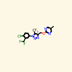 Cc1cnc(OCc2nnn(-c3ccc(Cl)c(C(F)F)c3)c2C(F)(F)F)nc1